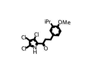 COc1ccc(CCC(=O)c2[nH]c(Cl)c(Cl)c2Cl)cc1C(C)C